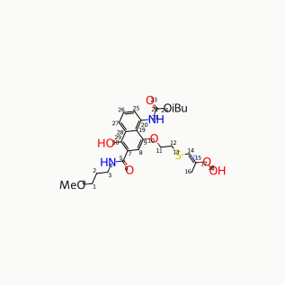 COCCCNC(=O)c1cc(OCCS/C=C(\C)OO)c2c(NC(=O)OCC(C)C)cccc2c1O